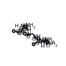 Nc1nc(N)c(C(=O)N/C(=N/C(=O)OCc2ccccc2)NC2CCN(C(=O)NC/C=C\CNC(=O)N3CCC(N/C(=N\C(=O)OCc4ccccc4)NC(=O)c4nc(Cl)c(N)nc4N)CC3)CC2)nc1Cl